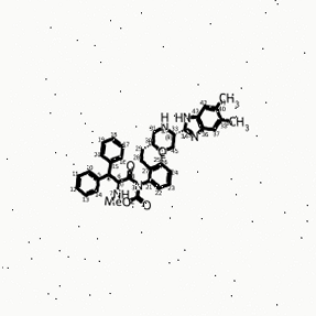 COC(=O)N(C(=O)[C@@H](N)C(c1ccccc1)c1ccccc1)c1cccc(F)c1CC[C@@H]1CN[C@H](c2nc3cc(C)c(C)cc3[nH]2)CO1